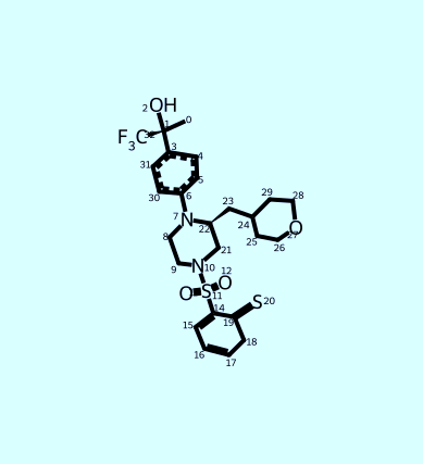 C[C@@](O)(c1ccc(N2CCN(S(=O)(=O)C3=CC=CCC3=S)C[C@@H]2CC2CCOCC2)cc1)C(F)(F)F